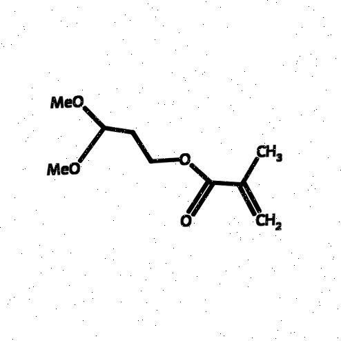 C=C(C)C(=O)OCCC(OC)OC